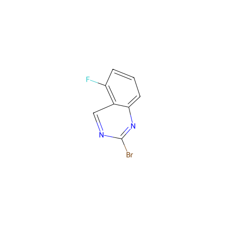 Fc1cccc2nc(Br)ncc12